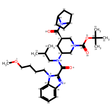 COCCCCn1c(C(=O)N(CC(C)C)[C@H]2C[C@@H](C(=O)N3C4CCC3CC4)CN(C(=O)OC(C)(C)C)C2)nc2ccccc21